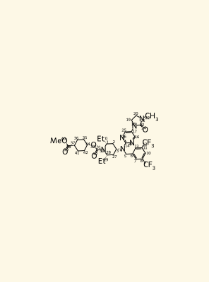 CC[C@@H]1C[C@H](N(Cc2cc(C(F)(F)F)cc(C(F)(F)F)c2)c2ncc(N3CCN(C)C3=O)cn2)C[C@H](CC)N1C(=O)O[C@H]1CC[C@H](C(=O)OC)CC1